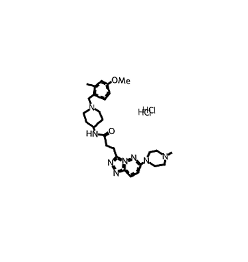 COc1ccc(CN2CCC(NC(=O)CCc3nnc4ccc(N5CCN(C)CC5)nn34)CC2)c(C)c1.Cl.Cl